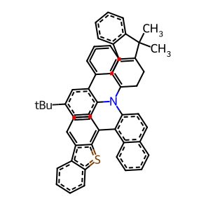 CC(C)(C)c1c#cc(N(C2=CC3=C(CC2)C(C)(C)c2ccccc23)c2ccc3ccccc3c2C2=c3sc4ccccc4c3=CCC2)c(C2=C=C=CC=C2)c1